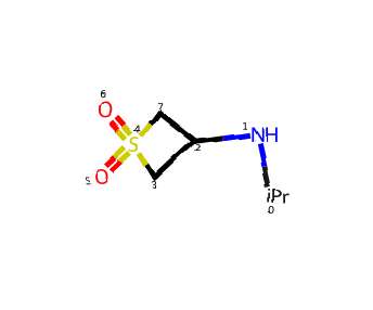 CC(C)NC1CS(=O)(=O)C1